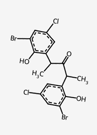 CC(C(=O)C(C)c1cc(Cl)cc(Br)c1O)c1cc(Cl)cc(Br)c1O